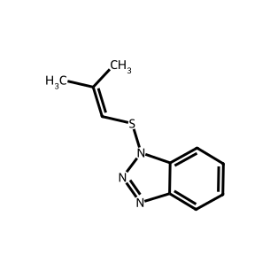 CC(C)=CSn1nnc2ccccc21